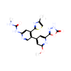 CCNC(=O)Nc1cc(-c2nc(C(F)(F)F)cs2)c(-c2cc(OCC)nc(-c3n[nH]c(=O)o3)c2)cn1